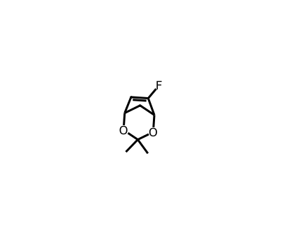 CC1(C)OC2C=C(F)C(C2)O1